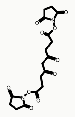 O=C(CCC(=O)ON1C(=O)CCC1=O)CC(=O)CCC(=O)ON1C(=O)CCC1=O